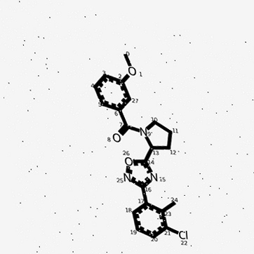 COc1cccc(C(=O)N2CCCC2c2nc(-c3cccc(Cl)c3C)no2)c1